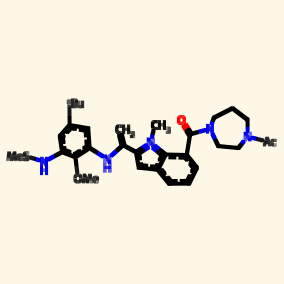 C=C(Nc1cc(C(C)(C)C)cc(NSC)c1OC)c1cc2cccc(C(=O)N3CCCN(C(C)=O)CC3)c2n1C